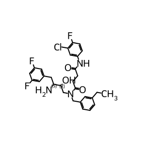 CCc1cccc(CN(C[C@@H](O)[C@@H](N)Cc2cc(F)cc(F)c2)C(=O)CCC(=O)Nc2ccc(F)c(Cl)c2)c1